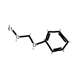 CCOCOc1ccccc1